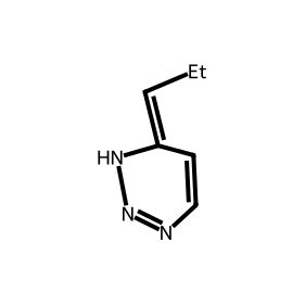 CCC=C1C=CN=NN1